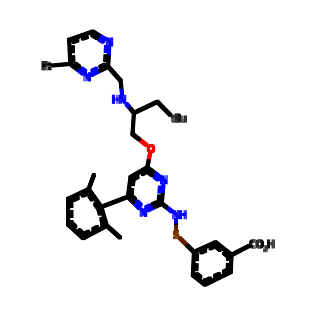 CCc1ccnc(CNC(COc2cc(-c3c(C)cccc3C)nc(NSc3cccc(C(=O)O)c3)n2)CC(C)(C)C)n1